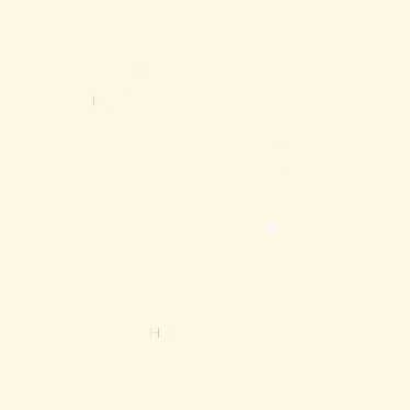 CCCCCC(=O)/C=C/C1CCC(=O)C1CC#CCCCCC(=O)O